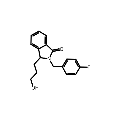 O=C1c2ccccc2C(CCCO)N1Cc1ccc(F)cc1